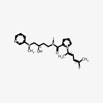 C/C(F)=C\C=C(/C)n1cccc1C(=O)N(I)CC[C@@H](O)CN(C)c1cccnc1